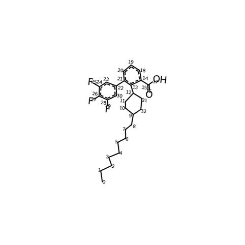 CCCCCCCCCC1CCC(c2c(C(=O)O)cccc2-c2cc(F)c(F)c(F)c2)CC1